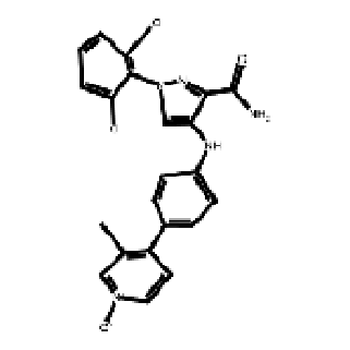 Cc1c[n+]([O-])ccc1-c1ccc(Nc2cn(-c3c(Cl)cccc3Cl)nc2C(N)=O)cc1